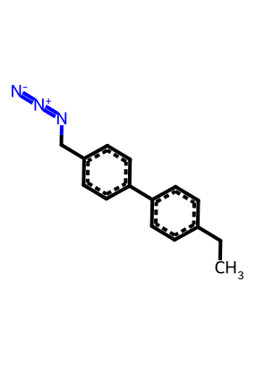 CCc1ccc(-c2ccc(CN=[N+]=[N-])cc2)cc1